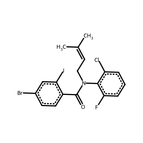 CC(C)=CCN(C(=O)c1ccc(Br)cc1I)c1c(F)cccc1Cl